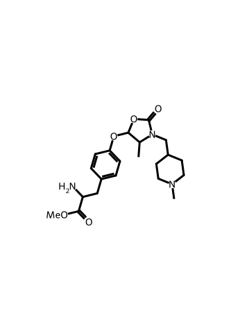 COC(=O)C(N)Cc1ccc(OC2OC(=O)N(CC3CCN(C)CC3)C2C)cc1